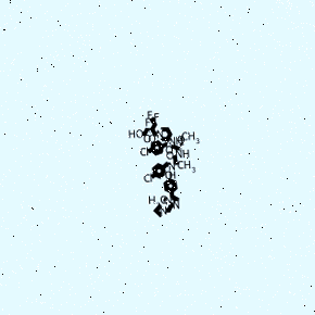 COC[C@H](NC(=O)[C@H](C)NCc1ccc(Cl)cc1Oc1ccc(-c2cnc(CN3CCC3)n2C)cc1)C(=O)N[C@@]1(Cc2ccc(Cl)cc2)CCCN(C(=O)[C@@H](CC(=O)O)CC(F)(F)F)C1